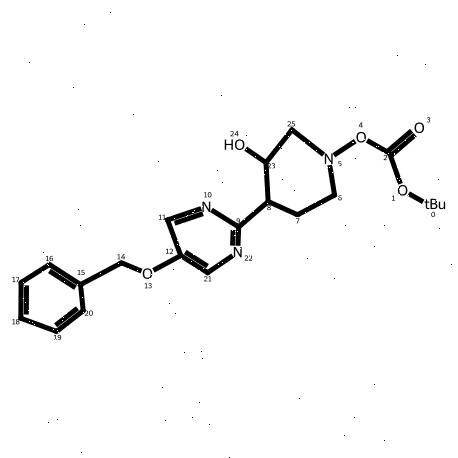 CC(C)(C)OC(=O)ON1CCC(c2ncc(OCc3ccccc3)cn2)C(O)C1